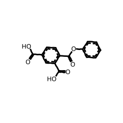 O=C(O)c1ccc(C(=O)Oc2ccccc2)c(C(=O)O)c1